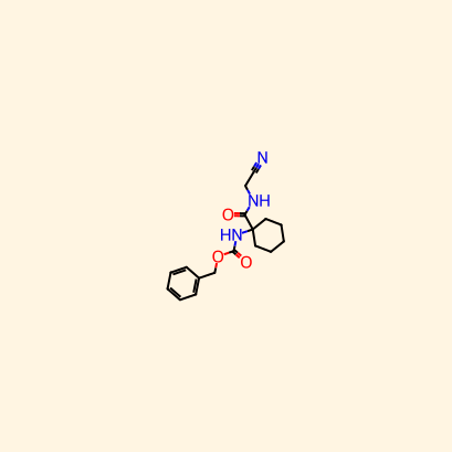 N#CCNC(=O)C1(NC(=O)OCc2ccccc2)CCCCC1